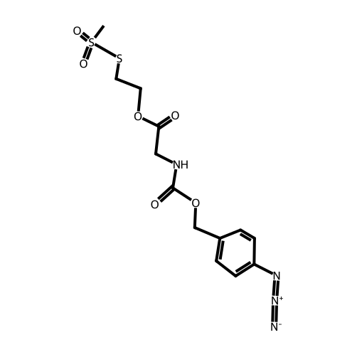 CS(=O)(=O)SCCOC(=O)CNC(=O)OCc1ccc(N=[N+]=[N-])cc1